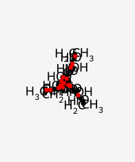 C=C(C)C(=O)NCCCCC(NOOSc1cc(O)c2ccc3c(S(=O)(=O)NC(CCCCNC(=O)C(=C)C)C(=O)O)cc(SOONC(CCCCNC(=O)C(=C)C)C(=O)O)c4ccc1c2c43)C(=O)O